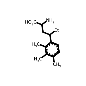 CCC(CC(N)C(=O)O)c1ccc(C)c(C)c1C